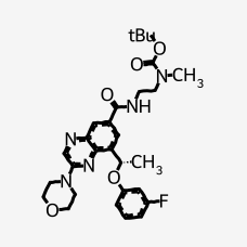 C[C@H](Oc1cccc(F)c1)c1cc(C(=O)NCCN(C)C(=O)OC(C)(C)C)cc2ncc(N3CCOCC3)nc12